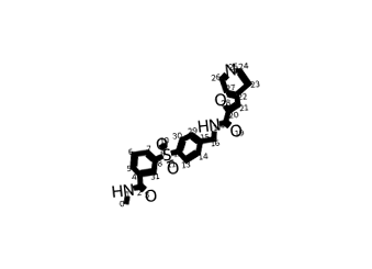 CNC(=O)c1cccc(S(=O)(=O)c2ccc(CNC(=O)c3cc4ccncc4o3)cc2)c1